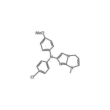 COc1ccc(N(c2ccc(Cl)cc2)c2cn3c(n2)N(C)C=CC3)cc1